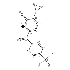 CC(F)(F)C1=CCC(C(=O)c2ccc(C3CC3)c(=O)[nH]2)C=C1